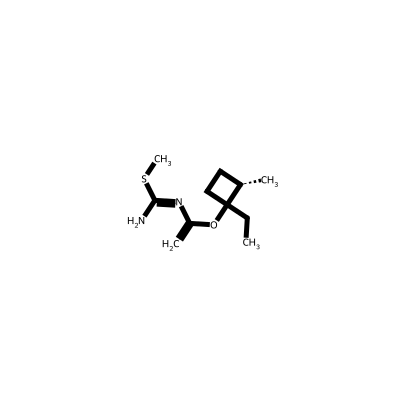 C=C(/N=C(\N)SC)OC1(CC)CC[C@@H]1C